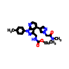 Cc1ccc(-n2nc(CNC(=O)OC(C)(C)C)c3c(-c4cnn(CC(=O)N(C)C)c4)ccnc32)cc1